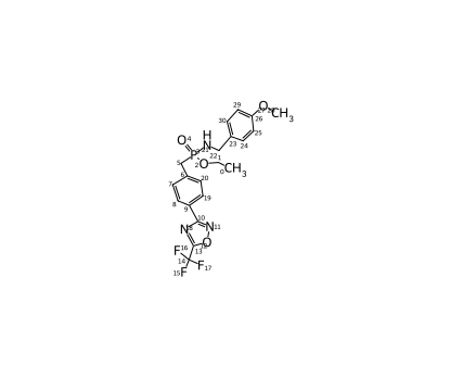 CCOP(=O)(Cc1ccc(-c2noc(C(F)(F)F)n2)cc1)NCc1ccc(OC)cc1